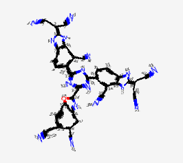 N#CC(C#N)=C1N=c2ccc(-c3nc(-c4nc5cc(C#N)c(C#N)cc5o4)nc(-c4ccc5c(c4C#N)=NC(=C(C#N)C#N)N=5)n3)c(C#N)c2=N1